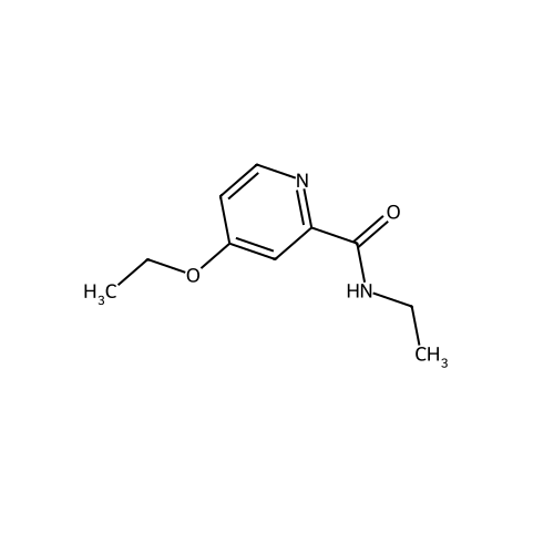 CCNC(=O)c1cc(OCC)ccn1